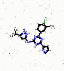 Cc1cc(-c2nc(Nc3cc(C(C)C)[nH]n3)nc(-c3ccc[nH]3)n2)ccc1Cl